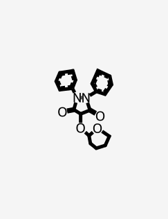 O=C1C(OC2CCCCO2)C(=O)N(c2ccccc2)N1c1ccccc1